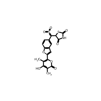 Cc1c(-c2cc3cc(C(C4SC(=O)NC4=O)=S(=O)=O)ccc3o2)oc(=O)c(C)c1O